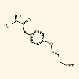 C=C(C)C(=O)Oc1ccc(OCCCCCCCCCCCC)cc1